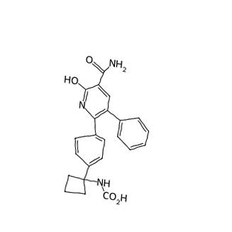 NC(=O)c1cc(-c2ccccc2)c(-c2ccc(C3(NC(=O)O)CCC3)cc2)nc1O